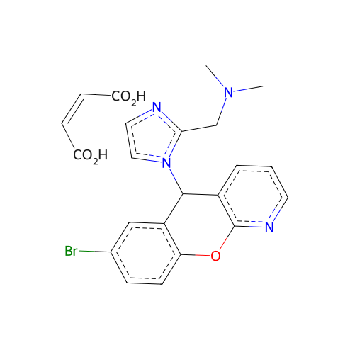 CN(C)Cc1nccn1C1c2cc(Br)ccc2Oc2ncccc21.O=C(O)/C=C\C(=O)O